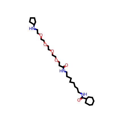 O=C(CCOCCOCCOCCOCCNC1CCCC1)NCCCCCCCCNC(=O)C1CCCCCC1